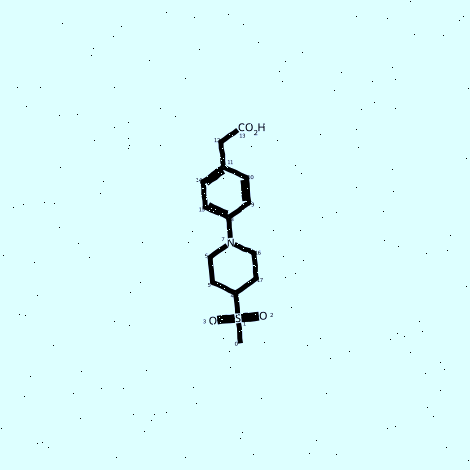 CS(=O)(=O)C1CCN(c2ccc(CC(=O)O)cc2)CC1